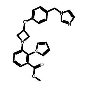 COC(=O)c1cccc(N2CC(Oc3ccc(Cn4ccnc4)cc3)C2)c1-n1cccc1